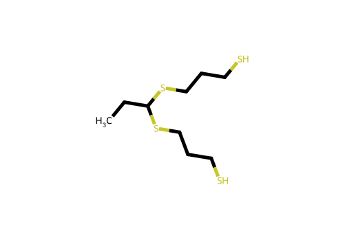 CCC(SCCCS)SCCCS